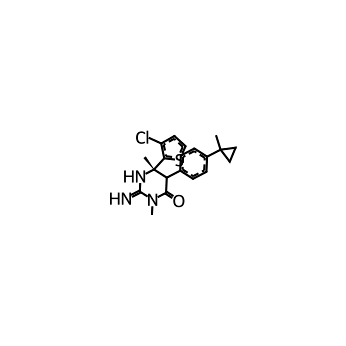 CN1C(=N)N[C@](C)(c2sccc2Cl)C(c2ccc(C3(C)CC3)cc2)C1=O